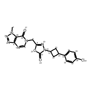 Cn1nnc2ncn(Cc3nn(C4CC(c5ccc(Cl)cc5)C4)c(=O)o3)c(=O)c21